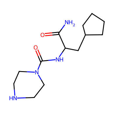 NC(=O)C(CC1CCCC1)NC(=O)N1CCNCC1